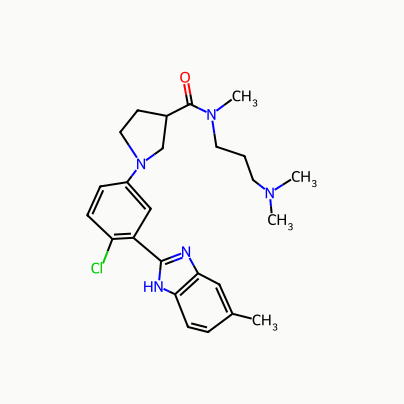 Cc1ccc2[nH]c(-c3cc(N4CCC(C(=O)N(C)CCCN(C)C)C4)ccc3Cl)nc2c1